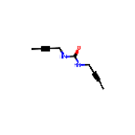 CC#CCNC(=O)NCC#CC